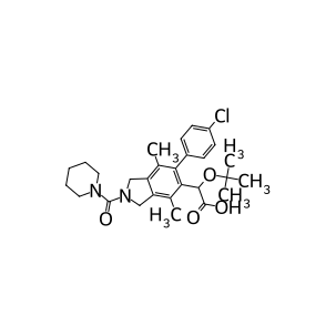 Cc1c2c(c(C)c(C(OC(C)(C)C)C(=O)O)c1-c1ccc(Cl)cc1)CN(C(=O)N1CCCCC1)C2